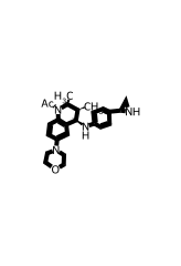 CC(=O)N1c2ccc(N3CCOCC3)cc2[C@H](Nc2ccc(C3CN3)cc2)[C@@H](C)[C@@H]1C